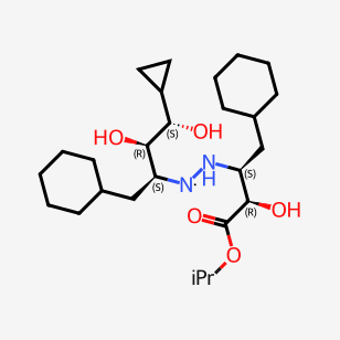 CC(C)OC(=O)[C@H](O)[C@H](CC1CCCCC1)N[N][C@@H](CC1CCCCC1)[C@@H](O)[C@@H](O)C1CC1